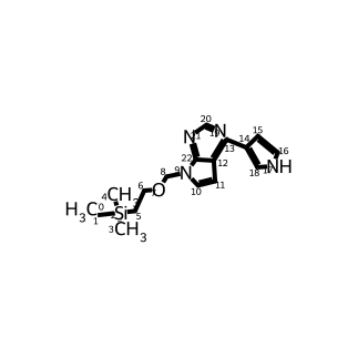 CC[Si](C)(C)CCOCn1ccc2c(-c3cc[nH]c3)ncnc21